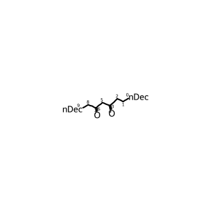 CCCCCCCCCCCCC(=O)CC(=O)CCCCCCCCCCC